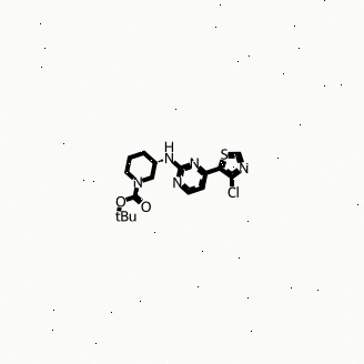 CC(C)(C)OC(=O)N1CCC[C@H](Nc2nccc(-c3scnc3Cl)n2)C1